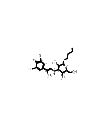 CCCCSC1OC(CO)C(O)C(N/C=C(\N)c2cc(F)c(F)c(F)c2)C1O